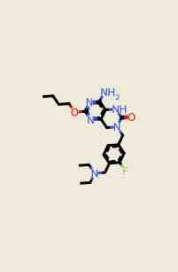 CCCCOc1nc(N)c2c(n1)CN(Cc1ccc(CN(CC)CC)c(F)c1)C(=O)N2